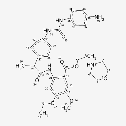 C1COCCN1.CCOC(=O)c1cc(OC)c(OCC)cc1NC(=O)C(C)c1ccc(NC(=O)Nc2ccc(N)cc2)cc1